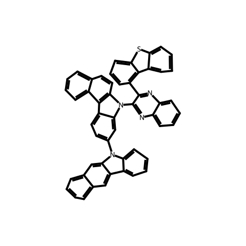 c1ccc2cc3c(cc2c1)c1ccccc1n3-c1ccc2c3c4ccccc4ccc3n(-c3nc4ccccc4nc3-c3cccc4sc5ccccc5c34)c2c1